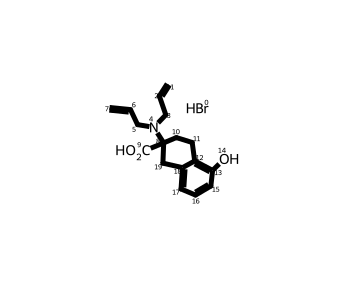 Br.C=CCN(CC=C)C1(C(=O)O)CCc2c(O)cccc2C1